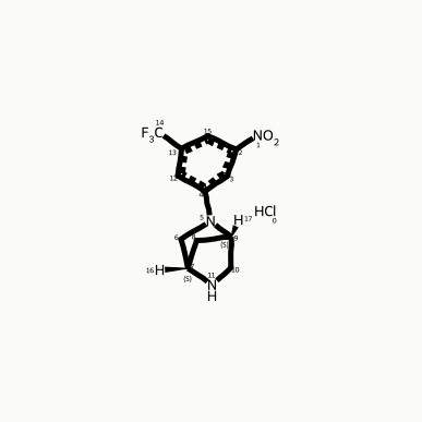 Cl.O=[N+]([O-])c1cc(N2C[C@@H]3C[C@H]2CN3)cc(C(F)(F)F)c1